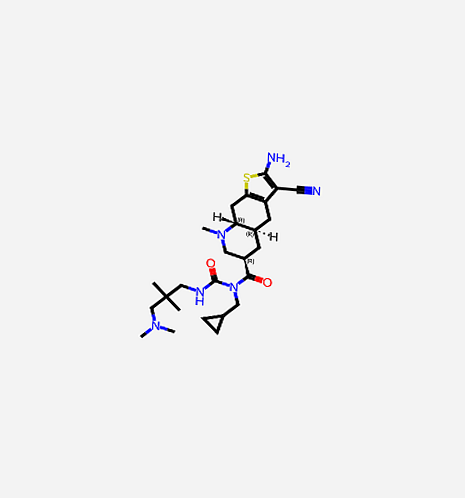 CN(C)CC(C)(C)CNC(=O)N(CC1CC1)C(=O)[C@@H]1C[C@@H]2Cc3c(sc(N)c3C#N)C[C@H]2N(C)C1